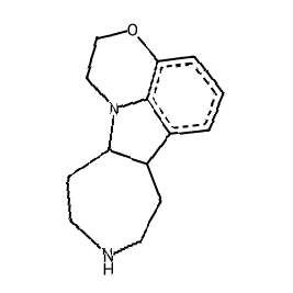 c1cc2c3c(c1)C1CCNCCC1N3CCO2